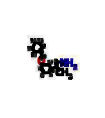 CC(CN)c1cccc(OCC2CCCCC2)c1